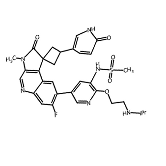 CC(C)NCCOc1ncc(-c2cc3c4c(cnc3cc2F)N(C)C(=O)C42CC(c3ccc(=O)[nH]c3)C2)cc1NS(C)(=O)=O